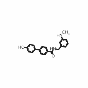 CNc1cccc(CNC(=O)c2ccc(-c3ccc(O)cc3)cc2)c1